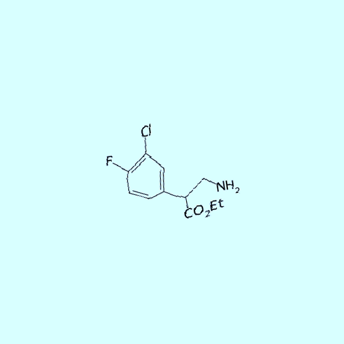 CCOC(=O)C(CN)c1ccc(F)c(Cl)c1